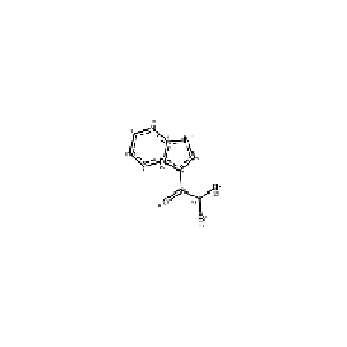 O=C(c1cnc2ncccn12)C(Br)Br